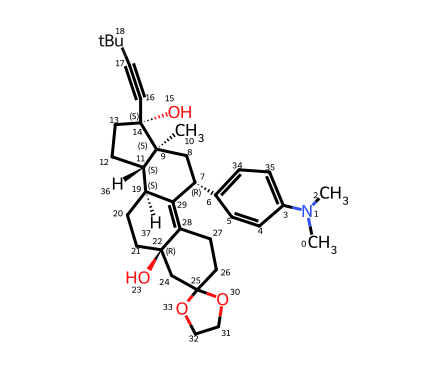 CN(C)c1ccc([C@H]2C[C@@]3(C)[C@@H](CC[C@@]3(O)C#CC(C)(C)C)[C@@H]3CC[C@@]4(O)CC5(CCC4=C32)OCCO5)cc1